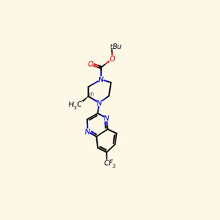 C[C@H]1CN(C(=O)OC(C)(C)C)CCN1c1cnc2cc(C(F)(F)F)ccc2n1